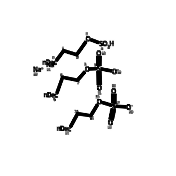 CCCCCCCCCCCCOS(=O)(=O)O.CCCCCCCCCCCCOS(=O)(=O)[O-].CCCCCCCCCCCCOS(=O)(=O)[O-].[Na+].[Na+]